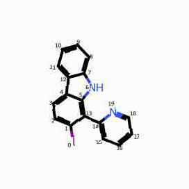 Ic1ccc2c([nH]c3ccccc32)c1-c1ccccn1